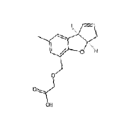 Cc1cc(COCC(=O)O)c2c(c1)[C@H]1C=CC[C@H]1O2